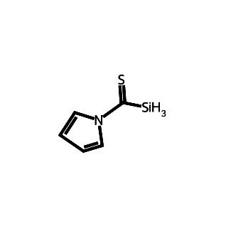 [SiH3]C(=S)n1cccc1